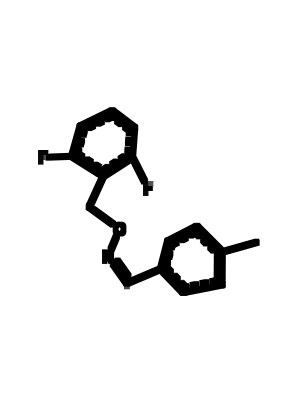 Cc1ccc(/[C]=N\OCc2c(F)cccc2F)cc1